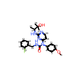 COc1ccc(N(C(=O)NCc2ccccc2F)c2ccnc(NC(C)C(C)(C)O)n2)cc1